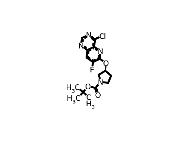 CC(C)(C)OC(=O)N1CC[C@H](Oc2nc3c(Cl)ncnc3cc2F)C1